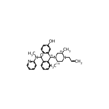 C=CCN1C[C@H](C)N([C@H](c2cccc(O)c2)c2ccccc2C(=O)N(C)c2ccccn2)C[C@H]1C